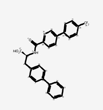 O=C(N[C@@H](Cc1ccc(-c2ccccc2)cc1)C(=O)O)c1ccc(-c2ccc(C(F)(F)F)cc2)cn1